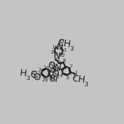 CCc1ccc2c(c1)cc(CN1CCN(C)CC1)n2S(=O)(=O)c1ccc(OC)cc1Br